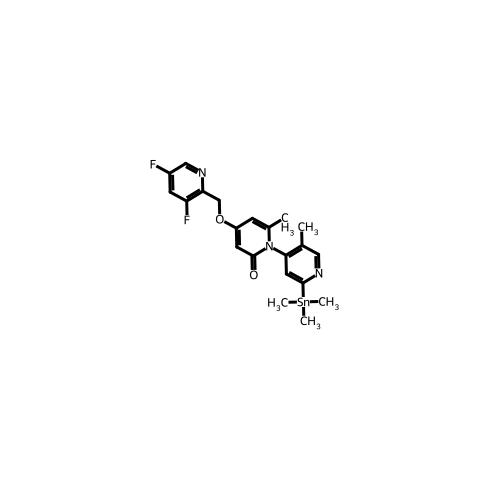 Cc1cn[c]([Sn]([CH3])([CH3])[CH3])cc1-n1c(C)cc(OCc2ncc(F)cc2F)cc1=O